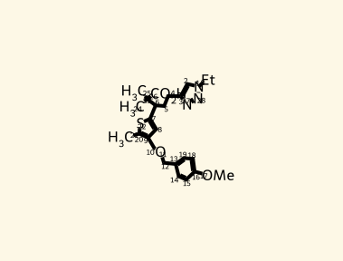 CCn1cc(CCC(c2cc(COCc3ccc(OC)cc3)c(C)s2)C(C)(C)C(=O)O)nn1